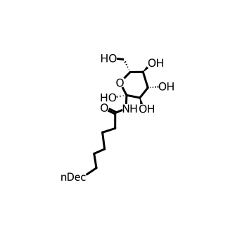 CCCCCCCCCCCCCCCC(=O)N[C@@]1(O)O[C@H](CO)[C@@H](O)[C@H](O)[C@H]1O